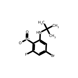 CC(C)(C)Nc1cc(Br)cc(F)c1[N+](=O)[O-]